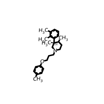 Cc1ccc(OCCCN2CCC(C)[C@@](C)(c3cccc(C)c3C)C2)cc1